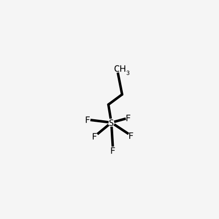 CCCS(F)(F)(F)(F)F